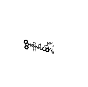 NCCNCC(CNCCNC(=O)OCC1c2ccccc2-c2ccccc21)Cc1ccc(N=C=S)cc1